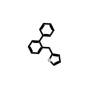 c1ccc(-c2ccccc2Cc2ccco2)cc1